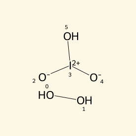 OO.[O-][I+2]([O-])O